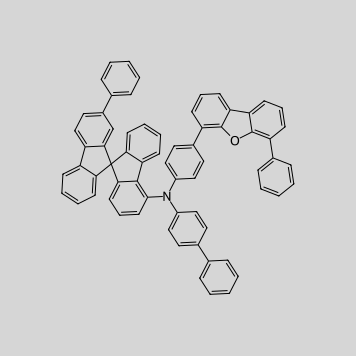 c1ccc(-c2ccc(N(c3ccc(-c4cccc5c4oc4c(-c6ccccc6)cccc45)cc3)c3cccc4c3-c3ccccc3C43c4ccccc4-c4ccc(-c5ccccc5)cc43)cc2)cc1